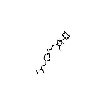 COC(=O)CCc1ccc(OCCc2nc(-c3ccccc3)oc2C)cc1